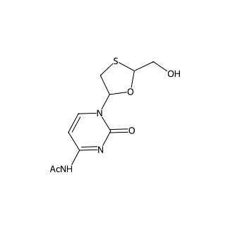 CC(=O)Nc1ccn(C2CSC(CO)O2)c(=O)n1